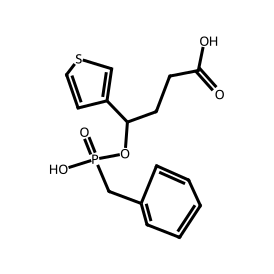 O=C(O)CCC(OP(=O)(O)Cc1ccccc1)c1ccsc1